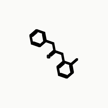 Cc1ccccc1CC(=O)Cc1ccccc1